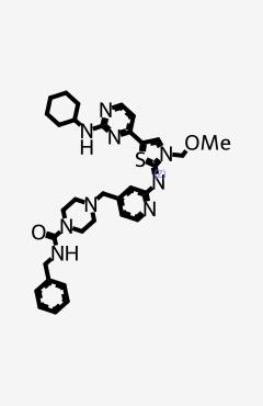 COCn1cc(-c2ccnc(NC3CCCCC3)n2)s/c1=N\c1cc(CN2CCN(C(=O)NCc3ccccc3)CC2)ccn1